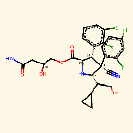 N#C[C@]1(c2ccc(Cl)cc2F)[C@H](C(CO)C2CC2)N[C@@H](C(=O)OC[C@@H](O)CC(N)=O)[C@@H]1c1cccc(Cl)c1F